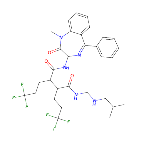 CC(C)CNCNC(=O)C(CCC(F)(F)F)C(CCC(F)(F)F)C(=O)NC1N=C(c2ccccc2)c2ccccc2N(C)C1=O